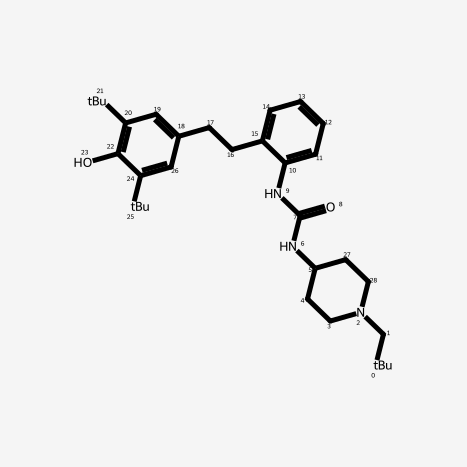 CC(C)(C)CN1CCC(NC(=O)Nc2ccccc2CCc2cc(C(C)(C)C)c(O)c(C(C)(C)C)c2)CC1